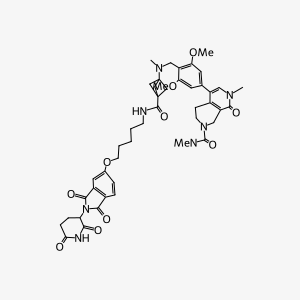 CNC(=O)N1CCc2c(-c3cc(OC)c(CN(C)C45CC(C(=O)NCCCCCOc6ccc7c(c6)C(=O)N(C6CCC(=O)NC6=O)C7=O)(C4)C5)c(OC)c3)cn(C)c(=O)c2C1